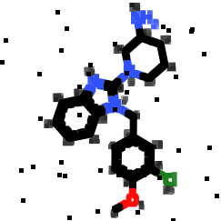 COc1ccc(Cn2c(N3CCCC(N)C3)nc3ccccc32)cc1Cl